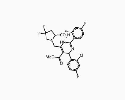 COC(=O)C1=C(CN2CC(F)(F)CC2C(=O)O)NC(c2ccc(F)cc2F)=NC1c1ccc(F)cc1Cl